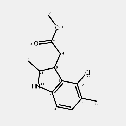 COC(=O)CC1c2c(ccc(C)c2Cl)NC1C